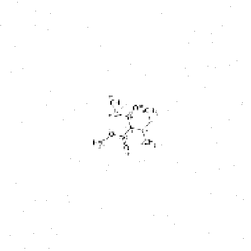 CCC(C)C(C(=O)OC)C(=O)OC